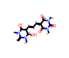 C=C1N(C)C(=O)C(/C=C/C=C2C(=O)N(C)C(=O)N(C)C2=O)C(O)N1C